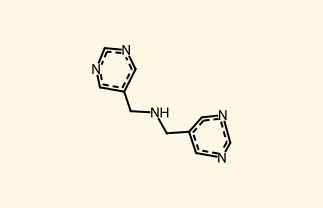 c1ncc(CNCc2cncnc2)cn1